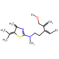 C=C(COCC)C(=CCC)CCN(C)c1nc(=C)c(=C(C)C)s1